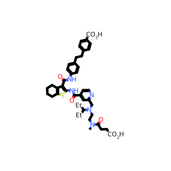 CCC(CC)N(CCN(C)C(=O)CCC(=O)O)Cc1cc(C(=O)Nc2sc3c(c2C(=O)Nc2ccc(CCc4ccc(C(=O)O)cc4)cc2)CCCC3)ccn1